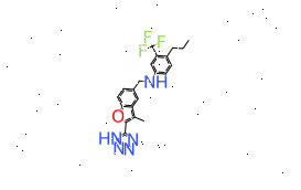 CCCc1ccc(NCc2ccc3oc(-c4nnn[nH]4)c(C)c3c2)cc1C(F)(F)F